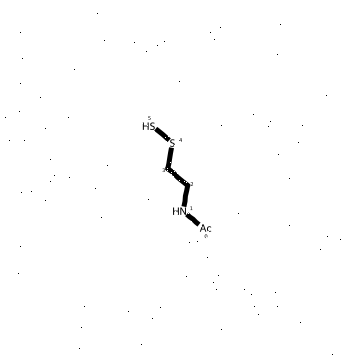 CC(=O)NCCSS